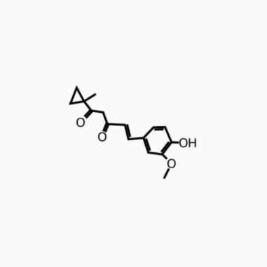 COc1cc(C=CC(=O)CC(=O)C2(C)CC2)ccc1O